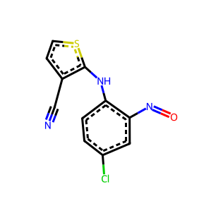 N#Cc1ccsc1Nc1ccc(Cl)cc1N=O